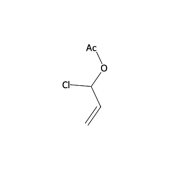 [CH2]C(=O)OC(Cl)C=C